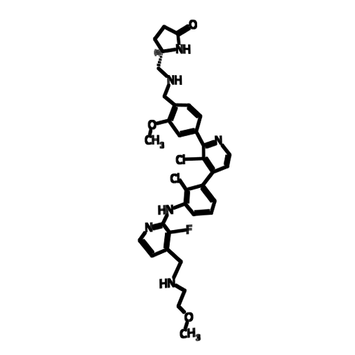 COCCNCc1ccnc(Nc2cccc(-c3ccnc(-c4ccc(CNC[C@@H]5CCC(=O)N5)c(OC)c4)c3Cl)c2Cl)c1F